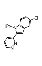 CC(C)n1c(-c2cccnn2)cc2cc(Cl)ccc21